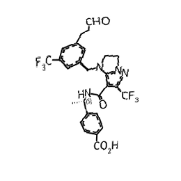 C[C@H](NC(=O)c1c(C(F)(F)F)nn2c1N(Cc1cc(CCC=O)cc(C(F)(F)F)c1)CC2)c1ccc(C(=O)O)cc1